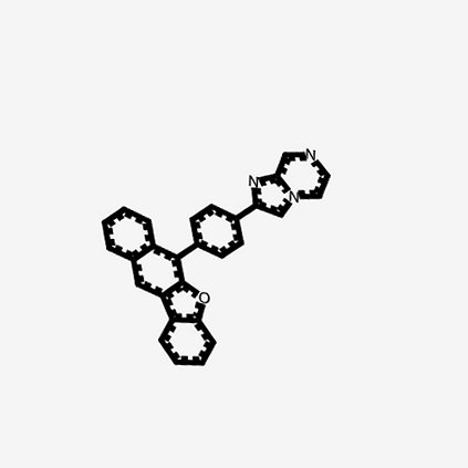 c1ccc2c(-c3ccc(-c4cn5ccncc5n4)cc3)c3oc4ccccc4c3cc2c1